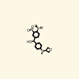 CN(c1ccc(C(O)c2ccc([N+](=O)[O-])c([N+](=O)[O-])c2)cc1)C1COC1